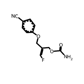 N#Cc1ccc(OCC(=CF)COC(N)=O)cc1